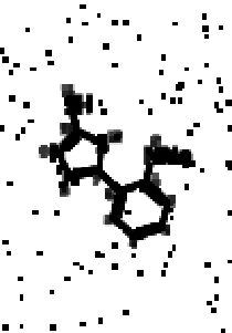 CNc1ccccc1-c1nnc(S)s1